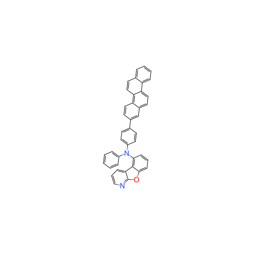 c1ccc(N(c2ccc(-c3ccc4c(ccc5c6ccccc6ccc45)c3)cc2)c2cccc3oc4ncccc4c23)cc1